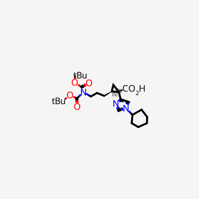 CC(C)(C)OC(=O)N(CCC[C@H]1C[C@]1(C(=O)O)c1cn(C2CCCCC2)cn1)C(=O)OC(C)(C)C